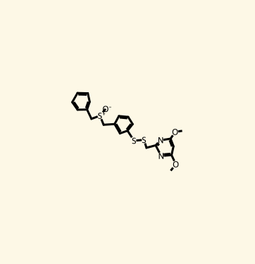 COc1cc(OC)nc(CSSc2cccc(C[S+]([O-])Cc3ccccc3)c2)n1